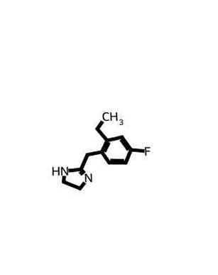 CCc1cc(F)ccc1CC1=NCCN1